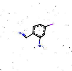 N=Cc1ccc(I)cc1N